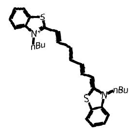 CCCCN1/C(=C/C=C/C=C/C=C/c2sc3ccccc3[n+]2CCCC)Sc2ccccc21